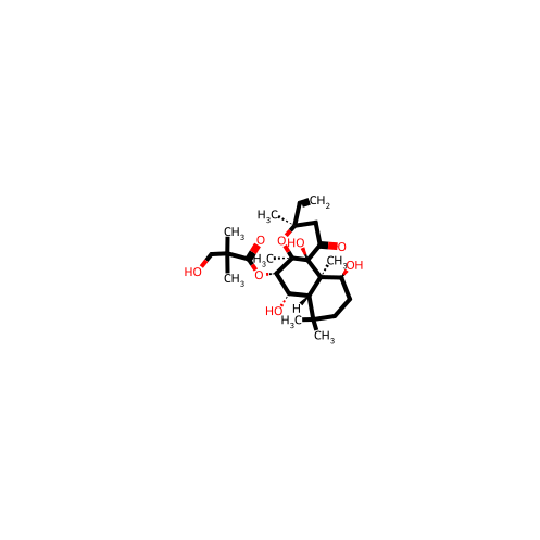 C=C[C@@]1(C)CC(=O)[C@]2(O)[C@@]3(C)[C@@H](O)CCC(C)(C)[C@@H]3[C@H](O)[C@H](OC(=O)C(C)(C)CO)[C@@]2(C)O1